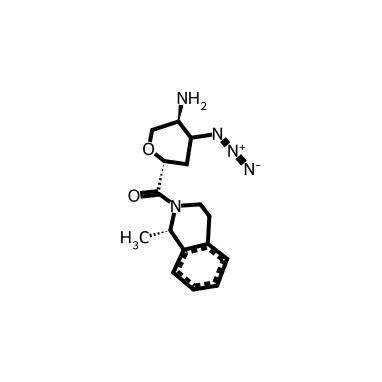 C[C@H]1c2ccccc2CCN1C(=O)[C@H]1CC(N=[N+]=[N-])[C@H](N)CO1